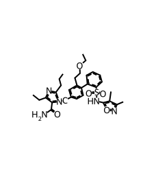 CCCc1nc(CC)c(C(N)=O)n1Cc1ccc(-c2ccccc2S(=O)(=O)Nc2onc(C)c2C)c(CCOCC)c1